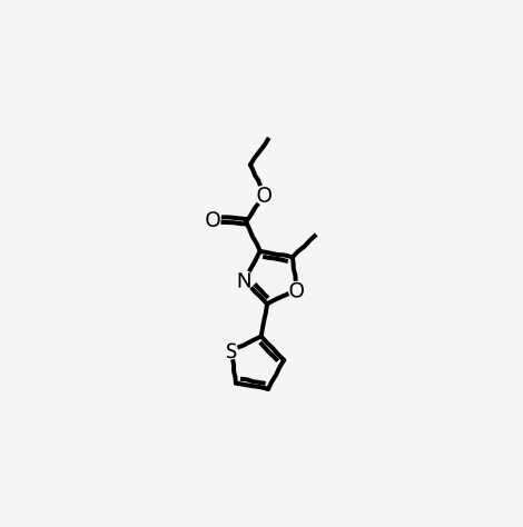 CCOC(=O)c1nc(-c2cccs2)oc1C